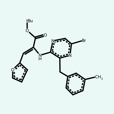 Cc1cccc(Cc2nc(Br)cnc2N/C(=C\c2ccco2)C(=O)OC(C)(C)C)c1